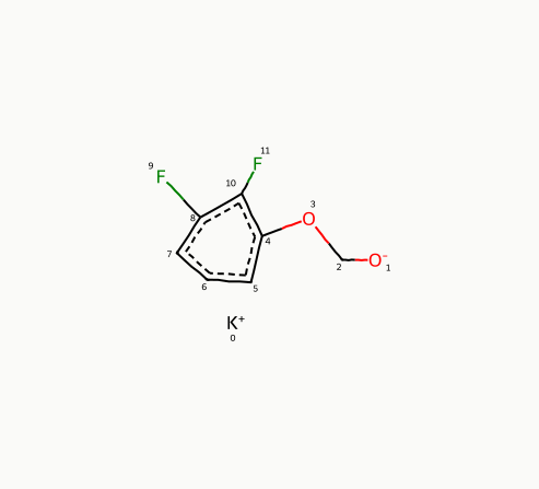 [K+].[O-]COc1cccc(F)c1F